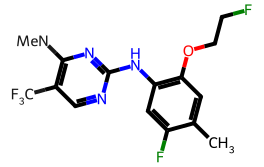 CNc1nc(Nc2cc(F)c(C)cc2OCCF)ncc1C(F)(F)F